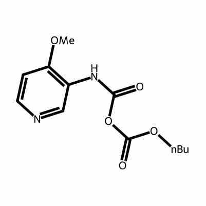 CCCCOC(=O)OC(=O)Nc1cnccc1OC